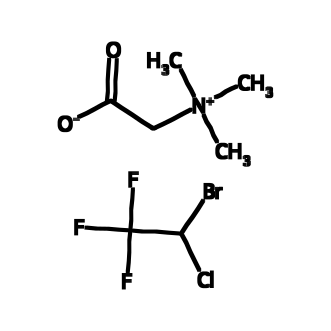 C[N+](C)(C)CC(=O)[O-].FC(F)(F)C(Cl)Br